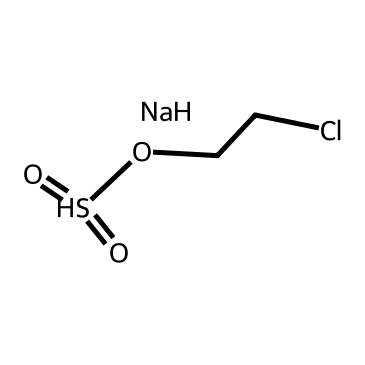 O=[SH](=O)OCCCl.[NaH]